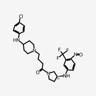 O=Nc1ccc(N[C@H]2CCN(C(=O)CCCN3CCC(Nc4ccc(Cl)cc4)CC3)C2)cc1C(F)(F)F